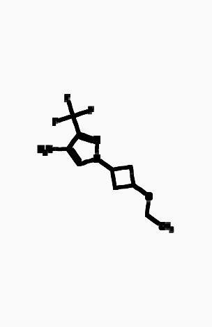 CCOC1CC(n2cc(N)c(C(F)(F)F)n2)C1